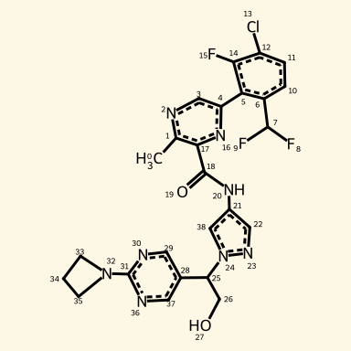 Cc1ncc(-c2c(C(F)F)ccc(Cl)c2F)nc1C(=O)Nc1cnn(C(CO)c2cnc(N3CCC3)nc2)c1